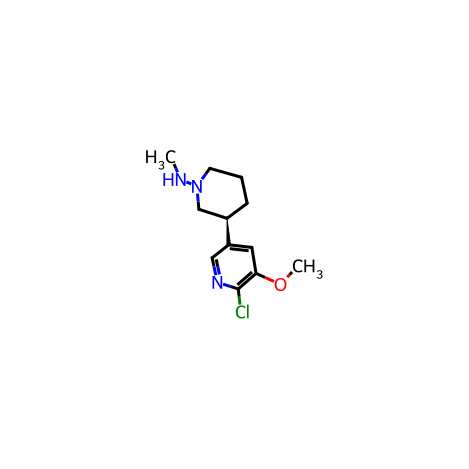 CNN1CCC[C@@H](c2cnc(Cl)c(OC)c2)C1